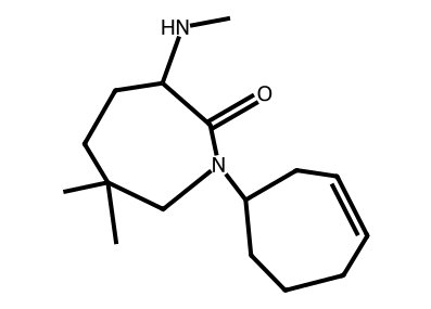 CNC1CCC(C)(C)CN(C2CC=CCCC2)C1=O